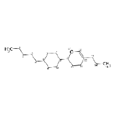 CCCCCC1CCC(C2CCC(CCC)=CO2)CC1